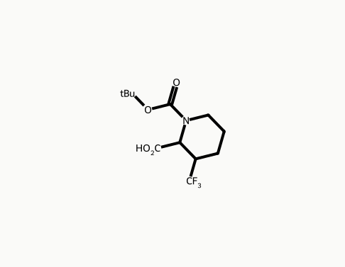 CC(C)(C)OC(=O)N1CCCC(C(F)(F)F)C1C(=O)O